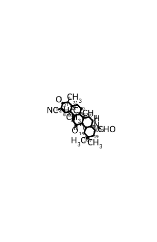 C[C@@H]1C(=O)C(C#N)=C[C@]2(C)C3=CC(=O)C4C5CC(C)(C)CC[C@]5(NC=O)CC[C@@]4(C)[C@]3(C)CCC12